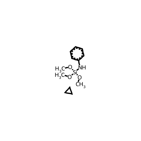 C1CC1.CO[Si](Nc1ccccc1)(OC)OC